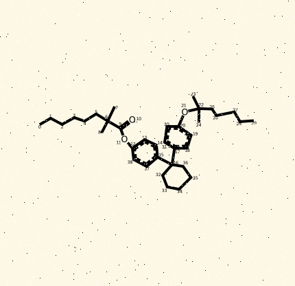 CCCCCCC(C)(C)C(=O)Oc1ccc(C2(c3ccc(OC(C)(C)CCCCC)cc3)CCCCC2)cc1